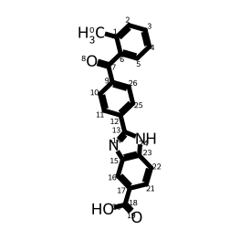 Cc1ccccc1C(=O)c1ccc(-c2nc3cc(C(=O)O)ccc3[nH]2)cc1